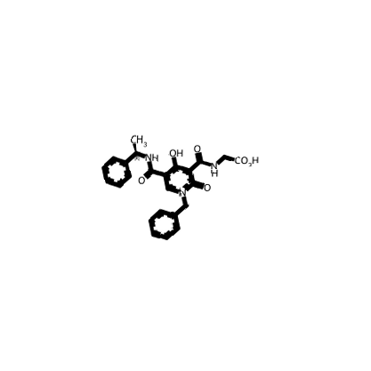 C[C@@H](NC(=O)c1cn(Cc2ccccc2)c(=O)c(C(=O)NCC(=O)O)c1O)c1ccccc1